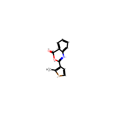 Cc1sccc1-c1nc2ccccc2c(=O)o1